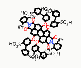 CC(C)c1cccc(C(C)C)c1N1C(=O)c2cc(Oc3ccc(S(=O)(=O)O)c(-c4cccc(S(=O)(=O)O)c4)c3)c3c4c(Oc5ccc(S(=O)(=O)O)c(-c6cccc(S(=O)(=O)O)c6)c5)cc5c6c(cc(Oc7ccc(S(=O)(=O)O)c(-c8cccc(S(=O)(=O)O)c8)c7)c(c7c(Oc8ccc(S(=O)(=O)O)c(-c9cccc(S(=O)(=O)O)c9)c8)cc(c2c37)C1=O)c64)C(=O)N(c1c(C(C)C)cccc1C(C)C)C5=O